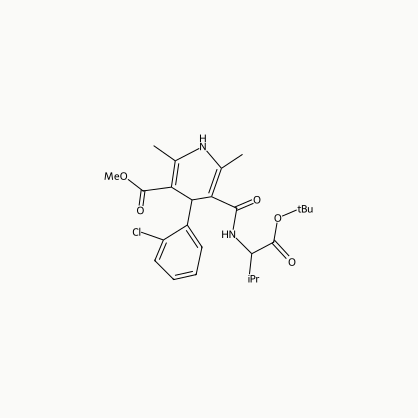 COC(=O)C1=C(C)NC(C)=C(C(=O)NC(C(=O)OC(C)(C)C)C(C)C)C1c1ccccc1Cl